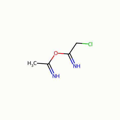 CC(=N)OC(=N)CCl